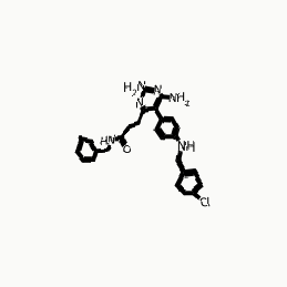 Nc1nc(N)c(-c2ccc(NCc3ccc(Cl)cc3)cc2)c(CCC(=O)NCc2ccccc2)n1